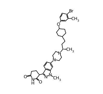 Cc1cc(OC2CCC(CC[C@@H](C)N3CCN(c4ccc5c(C6CCC(=O)NC6=O)nn(C)c5c4)CC3)CC2)ccc1Br